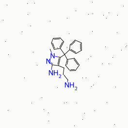 Cn1nc(N)c(CCCN)c1C(c1ccccc1)(c1ccccc1)c1ccccc1